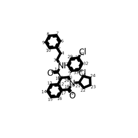 O=C(NCCc1ccccc1)[C@@H]1c2ccccc2C(=O)N(C2CCCC2)[C@H]1c1ccc(Cl)cc1Cl